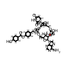 Nc1ncnc2c1ncn2[C@@H]1O[C@@H]2CO[P@@](=O)(SCc3ccc(OC(=O)c4ccc(O)cc4)cc3)O[C@@H]3C(F)[C@@H](COP(=O)(O)O[C@@H]1[C@@H]2F)O[C@H]3n1ccc(=O)[nH]c1=O